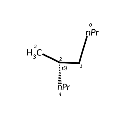 CCCC[C@@H](C)CCC